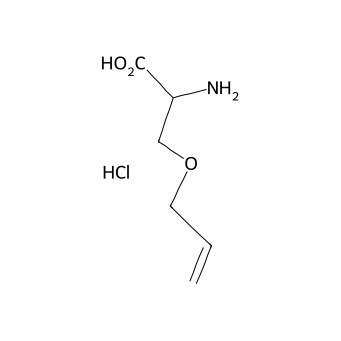 C=CCOCC(N)C(=O)O.Cl